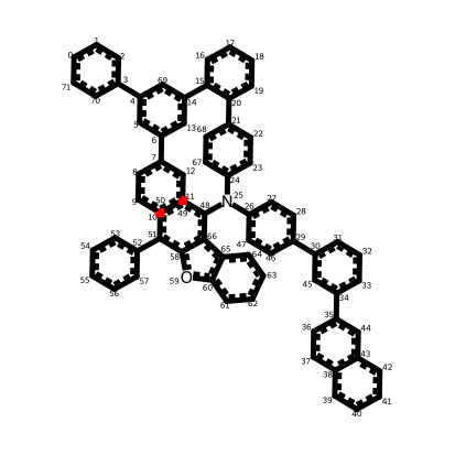 c1ccc(-c2cc(-c3ccccc3)cc(-c3ccccc3-c3ccc(N(c4ccc(-c5cccc(-c6ccc7ccccc7c6)c5)cc4)c4ccc(-c5ccccc5)c5oc6ccccc6c45)cc3)c2)cc1